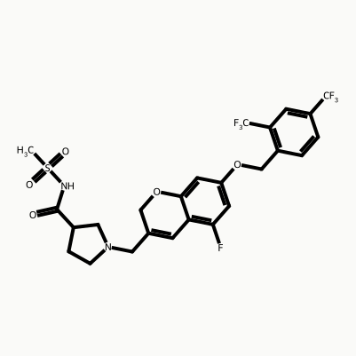 CS(=O)(=O)NC(=O)C1CCN(CC2=Cc3c(F)cc(OCc4ccc(C(F)(F)F)cc4C(F)(F)F)cc3OC2)C1